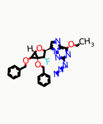 CCOc1nc(N=[N+]=[N-])nn2c([C@@H]3O[C@@H]4C(OCc5ccccc5)[C@]4(OCc4ccccc4)[C@H]3F)cnc12